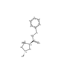 O=C(OCc1ccccc1)[C@H]1C[C@H](F)CN1